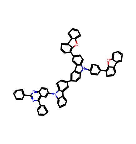 c1ccc(-c2nc(-c3ccccc3)c3cc(-n4c5ccccc5c5cc(-c6ccc7c(c6)c6cc(-c8cccc9c8oc8ccccc89)ccc6n7-c6ccc(-c7cccc8c7oc7ccccc78)cc6)ccc54)ccc3n2)cc1